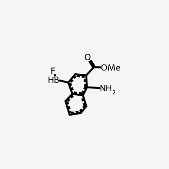 COC(=O)c1cc(BF)c2ccccc2c1N